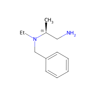 CCN(Cc1ccccc1)[C@@H](C)CN